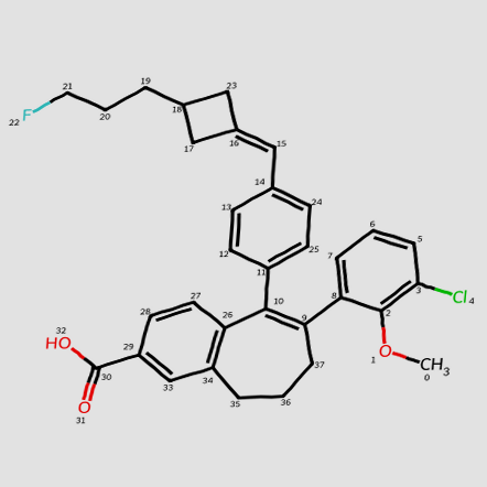 COc1c(Cl)cccc1C1=C(c2ccc(C=C3CC(CCCF)C3)cc2)c2ccc(C(=O)O)cc2CCC1